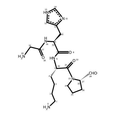 NCCCC[C@H](NC(=O)[C@H](Cc1c[nH]cn1)NC(=O)CN)C(=O)N1CCC[C@H]1[C]=O